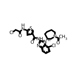 CC(=O)N1CCCC[C@@H](n2c(NC(=O)c3csc(NC(=O)CCl)c3)nc3cccc(Cl)c32)C1